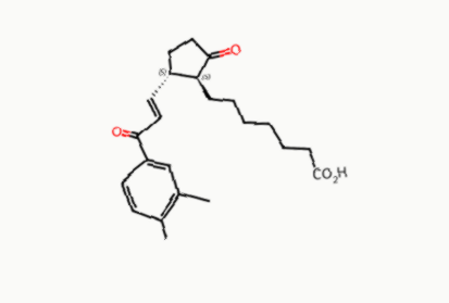 Cc1ccc(C(=O)C=C[C@@H]2CCC(=O)[C@H]2CCCCCCC(=O)O)cc1C